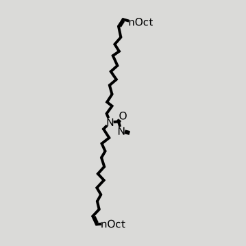 C=NC(=O)N(CCCCCCCCCCCC/C=C\CCCCCCCC)CCCCCCCCCCCC/C=C\CCCCCCCC